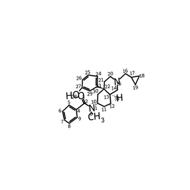 CN(C(=O)c1ccccc1)[C@H]1CC[C@@H]2CN(CC3CC3)CC[C@@]2(c2cccc(O)c2)C1